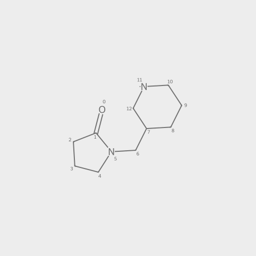 O=C1CCCN1CC1CCC[N]C1